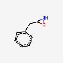 c1ccc(CC2NO2)cc1